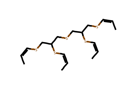 C/C=C\SCC(CSCC(CS/C=C\C)S/C=C\C)S/C=C\C